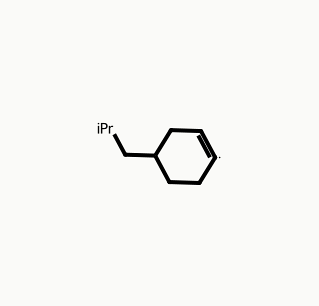 CC(C)CC1CC=[C]CC1